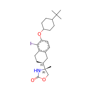 CC(C)(C)C1CCC(Oc2ccc3c(c2I)CC[C@H]([C@]2(C)COC(=O)N2)C3)CC1